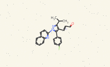 CC(C)c1nn(-c2ccc3ccccc3n2)c(-c2ccc(F)cc2)c1/C=C/C=O